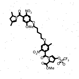 COC(=O)C1CC(OS(=O)(=O)C(F)(F)F)=CN1C(=O)c1cc(C)c(OCCCCCOc2cc([N+](=O)[O-])c(C(=O)N3C=C(C)CC3C)cc2OC)cc1[N+](=O)[O-]